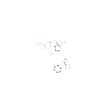 N#Cc1c(N)nc(SCc2csc(Nc3ccc(F)cc3)n2)c(C#N)c1[C@H]1CC[C@@H](O)CC1